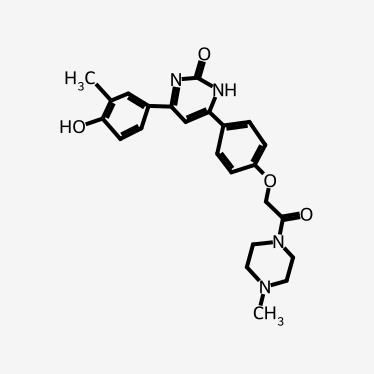 Cc1cc(-c2cc(-c3ccc(OCC(=O)N4CCN(C)CC4)cc3)[nH]c(=O)n2)ccc1O